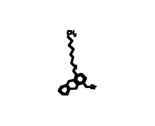 CCCCCCCCSCc1ccc(CBr)c2c1C1c3ccccc3C2c2ccccc21